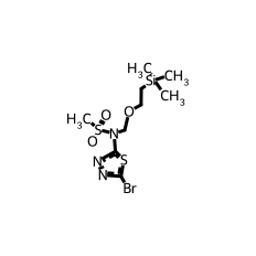 C[Si](C)(C)CCOCN(c1nnc(Br)s1)S(C)(=O)=O